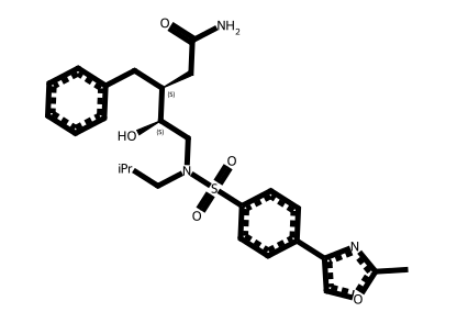 Cc1nc(-c2ccc(S(=O)(=O)N(CC(C)C)C[C@@H](O)[C@H](CC(N)=O)Cc3ccccc3)cc2)co1